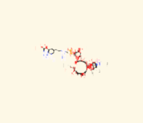 CC[C@H]1OC(=O)[C@H](C)[C@@H](O[C@H]2C[C@@](C)(OC)[C@@H](OS(=O)(=O)CCNCCCc3ccc4c(c3)c(=O)c(C(=O)O)cn4N)[C@H](C)O2)[C@H](C)[C@@H](O[C@@H]2O[C@H](C)C[C@H](N(C)C)[C@H]2O)[C@](C)(OC)C[C@@H](C)C(=O)[C@H](C)[C@@H](O)[C@]1(C)O